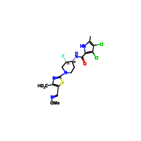 CON=Cc1sc(N2CC[C@@H](NC(=O)c3[nH]c(C)c(Cl)c3Cl)[C@@H](F)C2)nc1C(=O)O